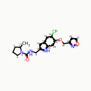 CC1CCCN1C(=O)NCc1cc2cc(Cl)c(OCc3ccon3)cc2[nH]1